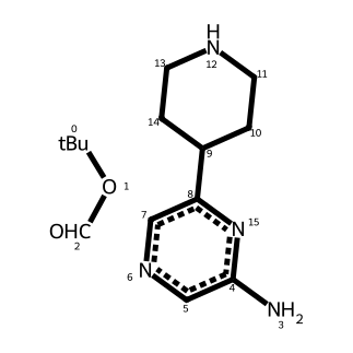 CC(C)(C)OC=O.Nc1cncc(C2CCNCC2)n1